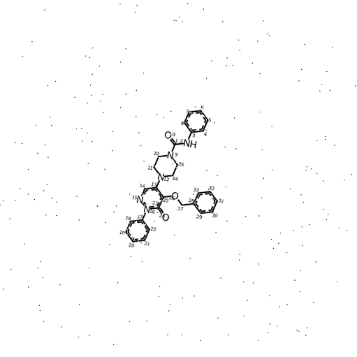 O=C(Nc1ccccc1)N1CCN(c2cnn(-c3ccccc3)c(=O)c2OCc2ccccc2)CC1